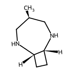 C[C@@H]1CN[C@H]2CC[C@H]2NC1